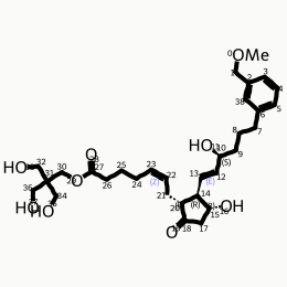 COCc1cccc(CCC[C@H](O)/C=C/[C@H]2[C@H](O)CC(=O)[C@@H]2C/C=C\CCCC(=O)OCC(CO)(CO)CO)c1